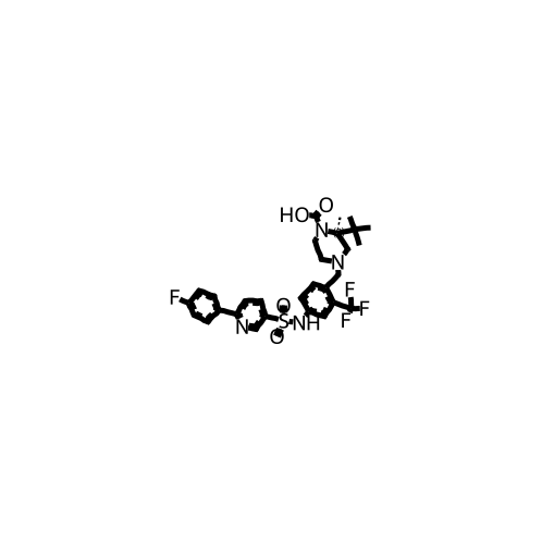 CC(C)(C)[C@@]1(C)CN(Cc2ccc(NS(=O)(=O)c3ccc(-c4ccc(F)cc4)nc3)cc2C(F)(F)F)CCN1C(=O)O